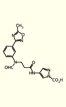 Cc1nc(-c2cccc(N(C=O)CCC(=O)Nc3cnn(C(=O)O)c3)c2)no1